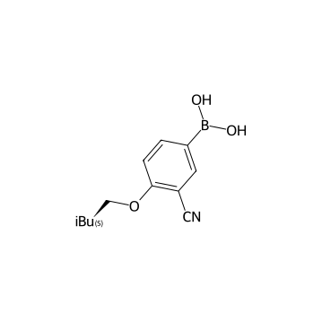 CC[C@H](C)COc1ccc(B(O)O)cc1C#N